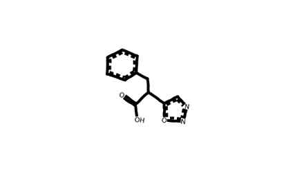 O=C(O)C(Cc1ccccc1)c1cnno1